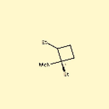 CCC1CC[C@]1(CC)NC